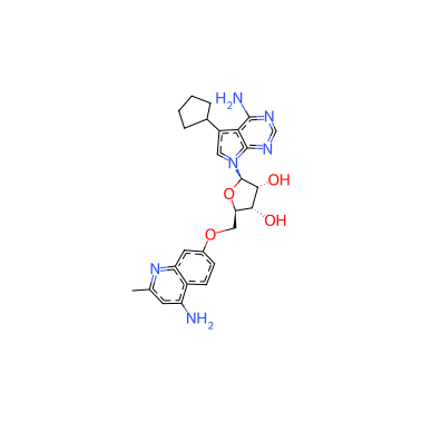 Cc1cc(N)c2ccc(OC[C@H]3O[C@@H](n4cc(C5CCCC5)c5c(N)ncnc54)[C@H](O)[C@@H]3O)cc2n1